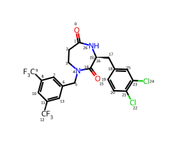 O=C1CCN(Cc2cc(C(F)(F)F)cc(C(F)(F)F)c2)C(=O)[C@H](Cc2ccc(Cl)c(Cl)c2)N1